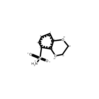 NS(=O)(=O)c1cccc2c1OCCO2